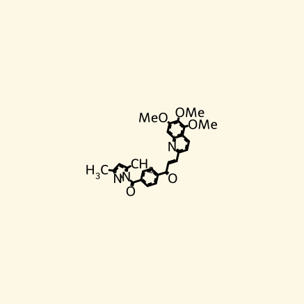 COc1cc2nc(C=CC(=O)c3ccc(C(=O)n4nc(C)cc4C)cc3)ccc2c(OC)c1OC